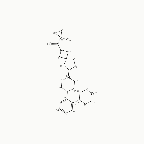 O=C(N1CC2(CC[C@@H](N3CCC(c4ccccc4C4CCOCC4)CC3)C2)C1)C1(F)CC1